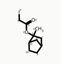 CC1(OC(=O)CI)CC2CCC1C2